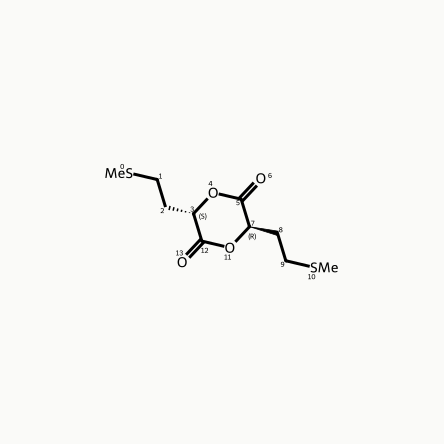 CSCC[C@@H]1OC(=O)[C@@H](CCSC)OC1=O